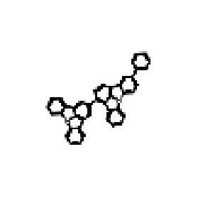 c1ccc(-c2ccc3c(c2)c2ccc(-c4cc5c6ccccc6n6c7ccccc7c(c4)c56)c4c5ccccc5n3c24)cc1